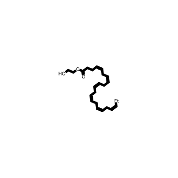 CC/C=C\C/C=C\C/C=C\C/C=C\C/C=C\C/C=C\CCC(=O)OCCO